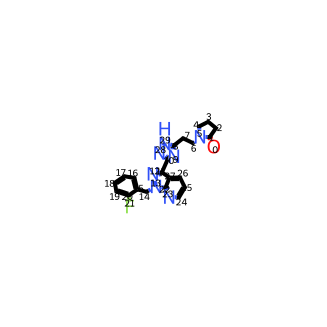 O=C1CCCN1CCc1nc(-c2nn(Cc3ccccc3F)c3ncccc23)n[nH]1